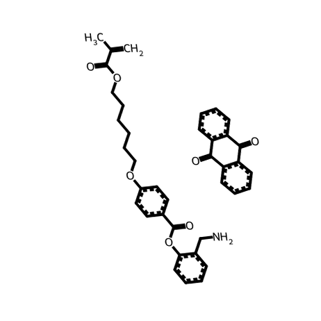 C=C(C)C(=O)OCCCCCCOc1ccc(C(=O)Oc2ccccc2CN)cc1.O=C1c2ccccc2C(=O)c2ccccc21